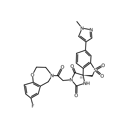 Cn1cc(-c2ccc3c(c2)S(=O)(=O)C[C@]32NC(=O)N(CC(=O)N3CCOc4ccc(F)cc4C3)C2=O)cn1